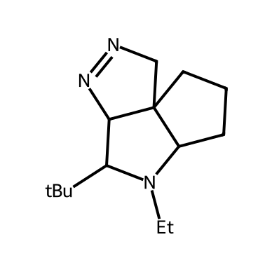 CCN1C(C(C)(C)C)C2N=NCC23CCCC13